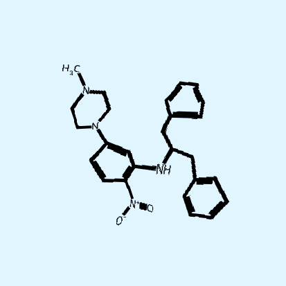 CN1CCN(c2ccc([N+](=O)[O-])c(NC(Cc3ccccc3)Cc3ccccc3)c2)CC1